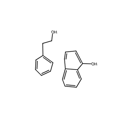 OCCc1ccccc1.Oc1cccc2ccccc12